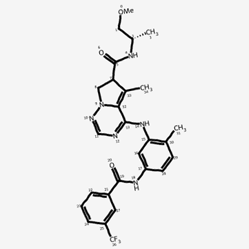 COC[C@H](C)NC(=O)C1CN2N=CN=C(Nc3cc(NC(=O)c4cccc(C(F)(F)F)c4)ccc3C)C2=C1C